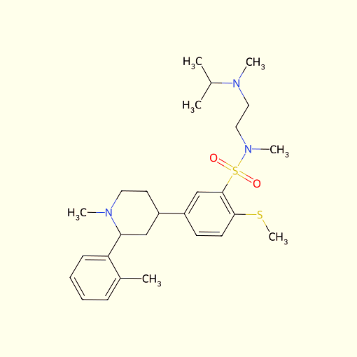 CSc1ccc(C2CCN(C)C(c3ccccc3C)C2)cc1S(=O)(=O)N(C)CCN(C)C(C)C